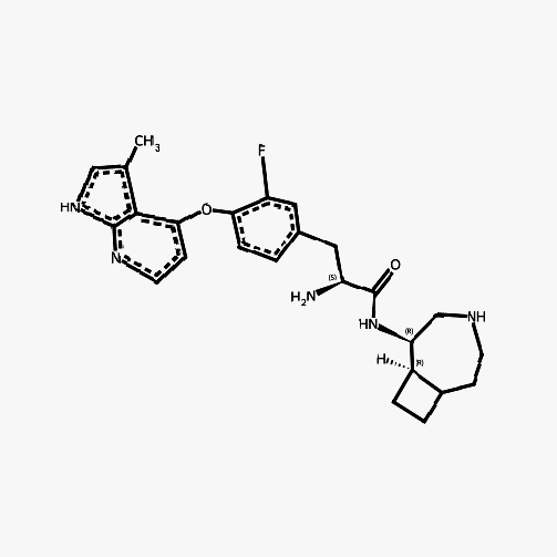 Cc1c[nH]c2nccc(Oc3ccc(C[C@H](N)C(=O)N[C@H]4CNCCC5CC[C@H]54)cc3F)c12